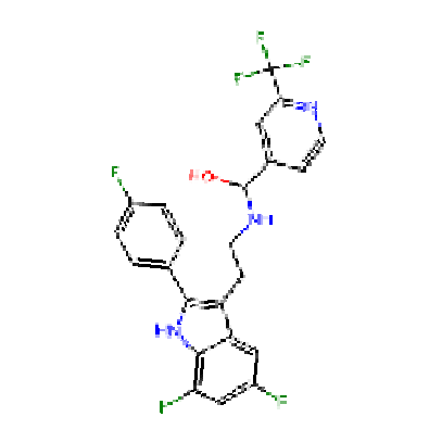 OC(NCCc1c(-c2ccc(F)cc2)[nH]c2c(F)cc(F)cc12)c1ccnc(C(F)(F)F)c1